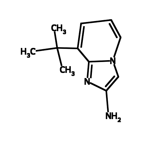 CC(C)(C)c1cccn2cc(N)nc12